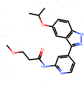 COCCC(=O)Nc1cc(-c2n[nH]c3ccc(OC(C)C)cc23)ccn1